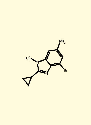 Cn1c(C2CC2)nc2c(Br)cc(N)cc21